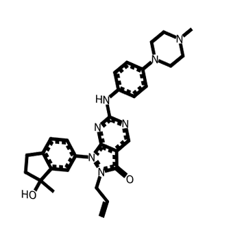 C=CCn1c(=O)c2cnc(Nc3ccc(N4CCN(C)CC4)cc3)nc2n1-c1ccc2c(c1)C(C)(O)CC2